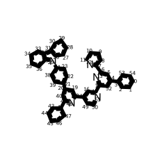 c1ccc(-c2cc(-c3ccccn3)nc(-c3cc(-c4cc(-c5ccc(-n6c7ccccc7c7ccccc76)cc5)cc(-c5ccccc5)n4)ccn3)c2)cc1